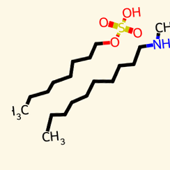 CCCCCCCCCCNC.CCCCCCCCOS(=O)(=O)O